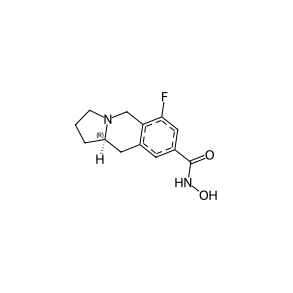 O=C(NO)c1cc(F)c2c(c1)C[C@H]1CCCN1C2